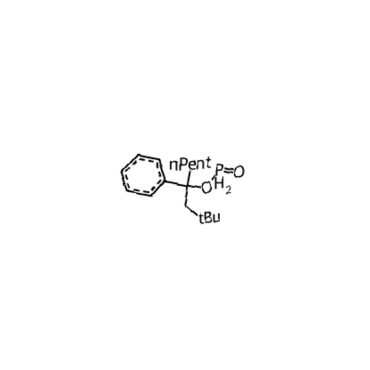 CCCCCC(CC(C)(C)C)(O[PH2]=O)c1ccccc1